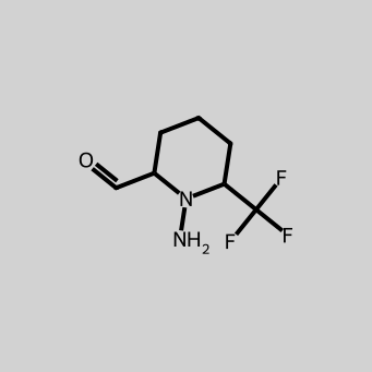 NN1C(C=O)CCCC1C(F)(F)F